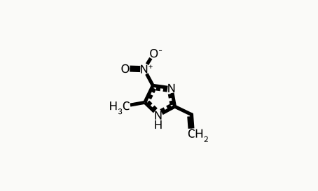 C=Cc1nc([N+](=O)[O-])c(C)[nH]1